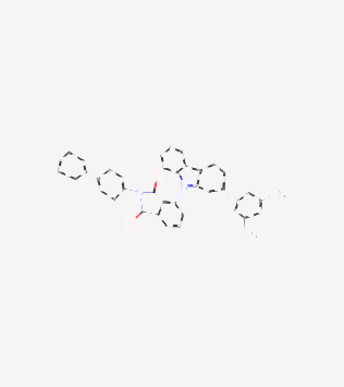 N#Cc1cc(C#N)cc(-c2ccc3c4ccccc4n(-c4cccc5c4C(=O)N(c4ccc(-c6ccccc6)cc4)C5=O)c3c2)c1